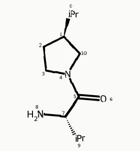 CC(C)[C@@H]1CCN(C(=O)[C@@H](N)C(C)C)C1